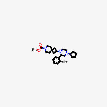 CC(C)c1ccccc1C1CN(C2CCCC2)CCN1C1CC2(CCN(C(=O)OC(C)(C)C)CC2)C1